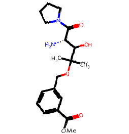 COC(=O)c1cccc(COC(C)(C)C(O)[C@H](N)C(=O)N2CCCC2)c1